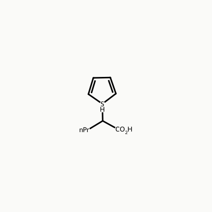 CCCC(C(=O)O)[SH]1C=CC=C1